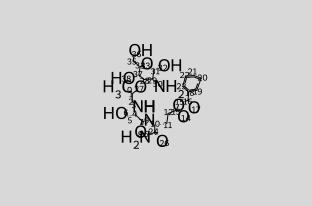 CC(CN[C@@H](CO)C(=O)N[C@H](CCC(=O)OC(=O)c1ccccc1)C(N)=O)O[C@@H]1[C@@H](N)[C@@H](O)O[C@H](CO)[C@H]1O